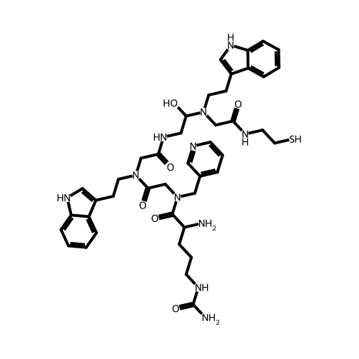 NC(=O)NCCCC(N)C(=O)N(CC(=O)N(CCc1c[nH]c2ccccc12)CC(=O)NCC(O)N(CCc1c[nH]c2ccccc12)CC(=O)NCCS)Cc1cccnc1